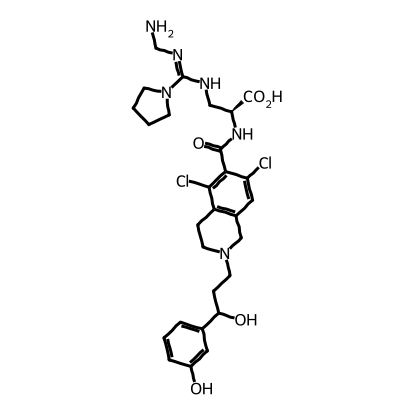 NC/N=C(/NC[C@H](NC(=O)c1c(Cl)cc2c(c1Cl)CCN(CCC(O)c1cccc(O)c1)C2)C(=O)O)N1CCCC1